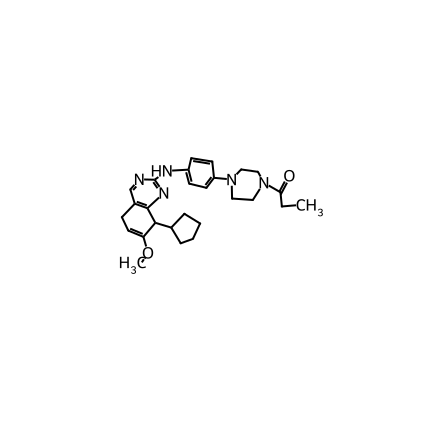 CCC(=O)N1CCN(c2ccc(Nc3ncc4c(n3)C(C3CCCC3)C(OC)=CC4)cc2)CC1